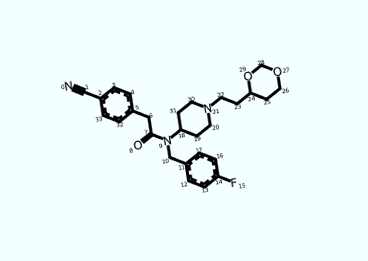 N#Cc1ccc(CC(=O)N(Cc2ccc(F)cc2)C2CCN(CCC3CCOCO3)CC2)cc1